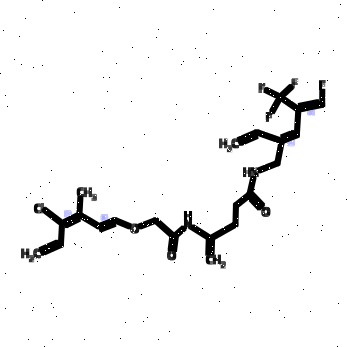 C=C/C(=C\C(=C\F)C(F)(F)F)CNC(=O)CCC(=C)NC(=O)CO/C=C/C(C)=C(/Cl)C=C